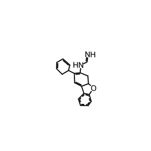 N=CNC1=C(C2C=CC=CC2)C=C2c3ccccc3OC2C1